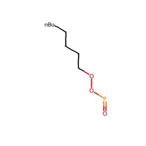 CCCCCCCCOOP=O